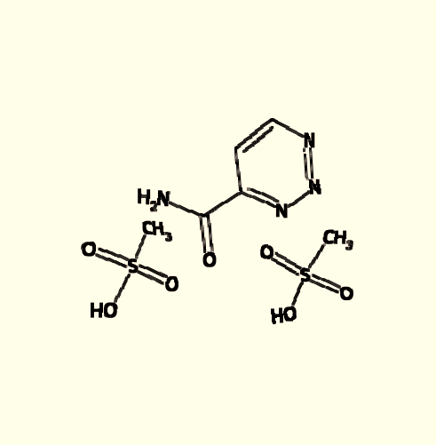 CS(=O)(=O)O.CS(=O)(=O)O.NC(=O)c1ccnnn1